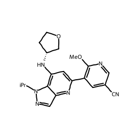 COc1ncc(C#N)cc1-c1cc(N[C@@H]2CCOC2)c2c(cnn2C(C)C)n1